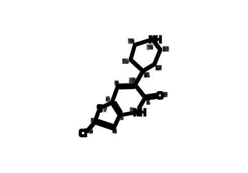 O=c1[nH]c2cc(Cl)sc2cc1C1CCNCC1